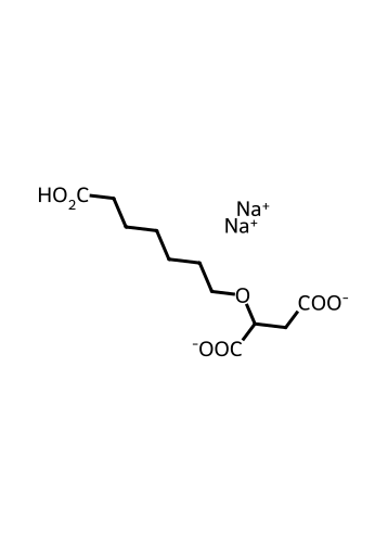 O=C([O-])CC(OCCCCCCC(=O)O)C(=O)[O-].[Na+].[Na+]